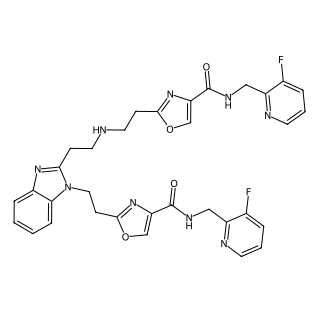 O=C(NCc1ncccc1F)c1coc(CCNCCc2nc3ccccc3n2CCc2nc(C(=O)NCc3ncccc3F)co2)n1